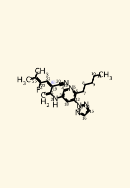 C=C(Nc1cnc(CCCCC)c(-n2nccn2)c1)/C(C#N)=C\C(F)=C(C)C